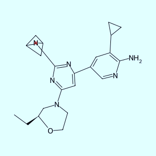 CC[C@H]1CN(c2cc(-c3cnc(N)c(C4CC4)c3)nc(N3CC4CC3C4)n2)CCO1